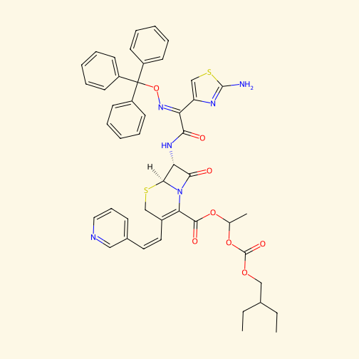 CCC(CC)COC(=O)OC(C)OC(=O)C1=C(/C=C\c2cccnc2)CS[C@H]2[C@H](NC(=O)C(=NOC(c3ccccc3)(c3ccccc3)c3ccccc3)c3csc(N)n3)C(=O)N12